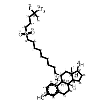 C[C@]12C[C@H](CCCCCCCCCS(=O)(=O)CCCC(F)(F)C(F)(F)F)[C@@H]3c4ccc(O)cc4CC[C@H]3[C@@H]1CC[C@@H]2O